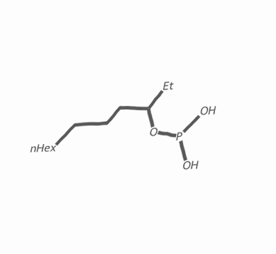 CCCCCCCCCC(CC)OP(O)O